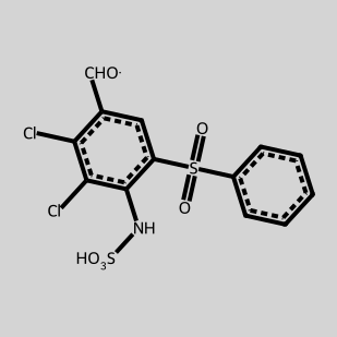 O=[C]c1cc(S(=O)(=O)c2ccccc2)c(NS(=O)(=O)O)c(Cl)c1Cl